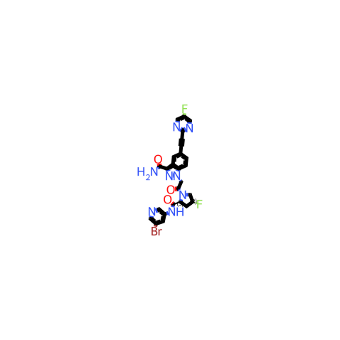 NC(=O)c1nn(CC(=O)N2C[C@H](F)C[C@H]2C(=O)Nc2cncc(Br)c2)c2ccc(C#Cc3ncc(F)cn3)cc12